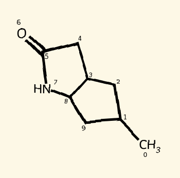 CC1CC2CC(=O)NC2C1